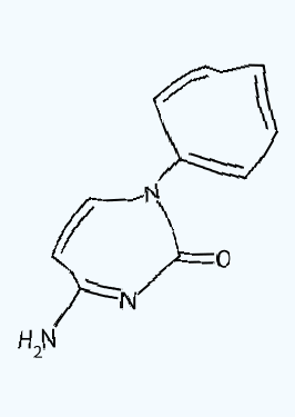 Nc1ccn(-c2ccccc2)c(=O)n1